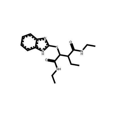 CCNC(=O)C(CC)C(Sc1nc2ccccc2[nH]1)C(=O)NCC